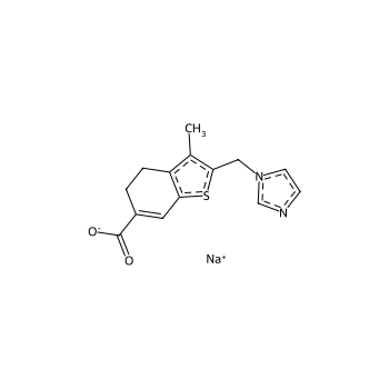 Cc1c(Cn2ccnc2)sc2c1CCC(C(=O)[O-])=C2.[Na+]